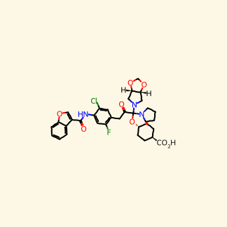 O=C(Nc1cc(F)c(CC(=O)C(O[C@H]2CC[C@H](C(=O)O)CC2)(N2CCCC2)N2C[C@@H]3OCO[C@@H]3C2)cc1Cl)c1coc2ccccc12